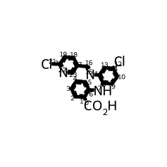 O=C(O)c1ccccc1Nc1ccc(Cl)cc1N=Cc1ccc(Cl)nc1